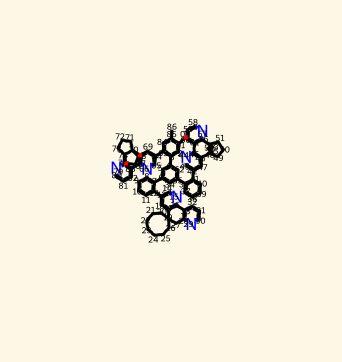 Cc1cc(-c2cc(-c3ccccc3-c3cnc4c(c3)C3(CCCCCCC3)Cc3ncccc3-4)cc(-c3ccccc3-c3cnc4c(c3)C35CCCC3(CCC5)c3ncccc3-4)c2)c(-c2cnc3c(c2)C24CCCC2(CCC4)c2ncccc2-3)cc1C